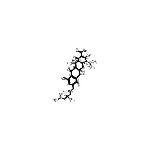 CN(C)CC(C)(C)CNCc1cc(O)c2c(c1F)C[C@H]1C[C@H]3[C@H](N(C)C)C(O)=C(C(N)=O)C(=O)[C@@]3(O)C(O)=C1C2=O